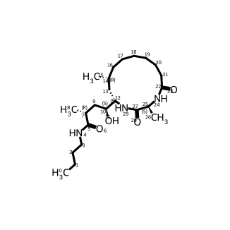 CCCCNC(=O)[C@H](C)C[C@H](O)[C@@H]1C[C@H](C)CCCCCCC(=O)N[C@@H](C)C(=O)N1